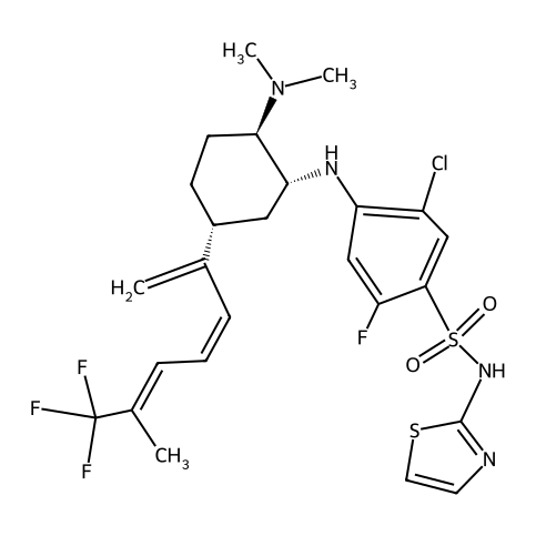 C=C(/C=C\C=C(/C)C(F)(F)F)[C@@H]1CC[C@@H](N(C)C)[C@H](Nc2cc(F)c(S(=O)(=O)Nc3nccs3)cc2Cl)C1